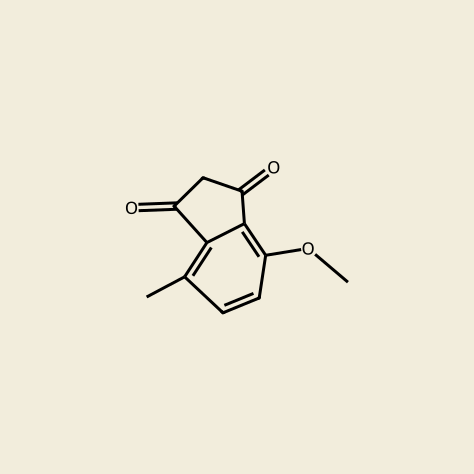 COc1ccc(C)c2c1C(=O)CC2=O